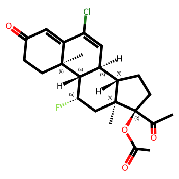 CC(=O)O[C@]1(C(C)=O)CC[C@H]2[C@@H]3C=C(Cl)C4=CC(=O)CC[C@]4(C)[C@H]3[C@@H](F)C[C@@]21C